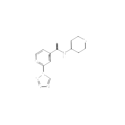 O=C(NC1CCNCC1)c1ccnc(-n2cnnn2)c1